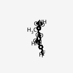 Cc1cc(N2C(=O)CNC2=O)ccc1CCS(=O)(=O)N1CCC2(CC1)N=C(C1CCC(CCC(F)(F)F)CC1)NC2=O